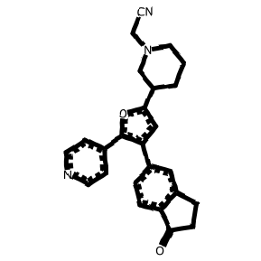 N#CCN1CCCC(c2cc(-c3ccc4c(c3)CCC4=O)c(-c3ccncc3)o2)C1